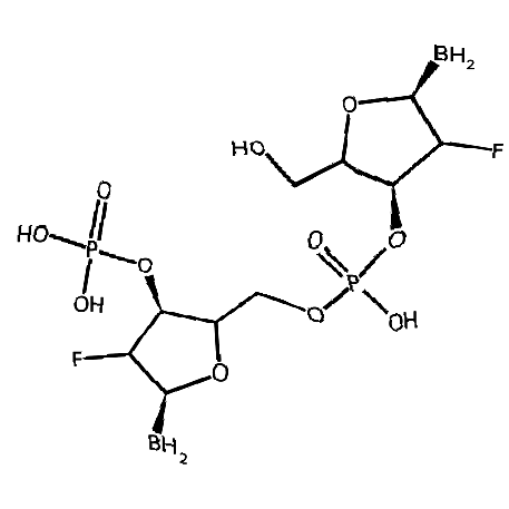 B[C@@H]1OC(COP(=O)(O)O[C@H]2C(CO)O[C@@H](B)C2F)[C@H](OP(=O)(O)O)C1F